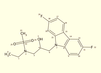 CCN(CC(O)Cn1c2ccc(F)cc2c2ccc(F)cc21)S(C)(=O)=O